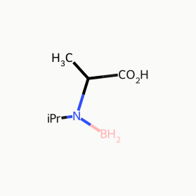 BN(C(C)C)C(C)C(=O)O